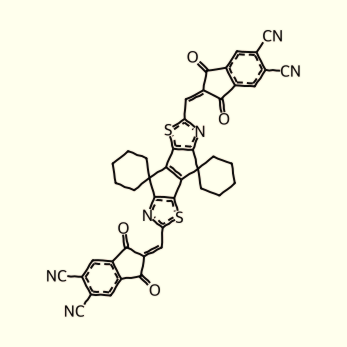 N#Cc1cc2c(cc1C#N)C(=O)C(=Cc1nc3c(s1)C1=C(c4sc(C=C5C(=O)c6cc(C#N)c(C#N)cc6C5=O)nc4C14CCCCC4)C31CCCCC1)C2=O